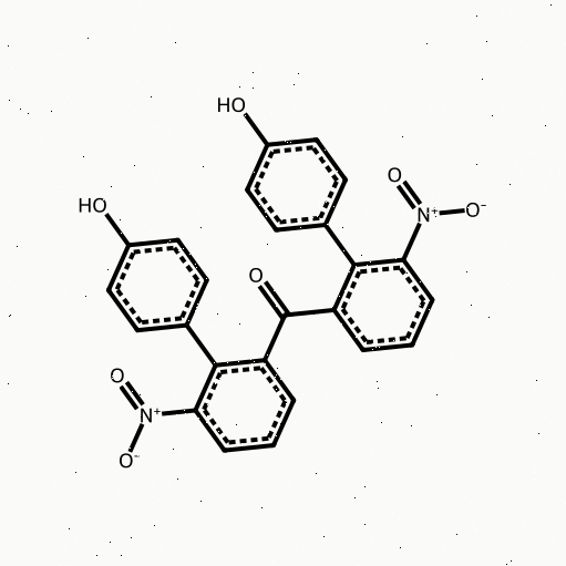 O=C(c1cccc([N+](=O)[O-])c1-c1ccc(O)cc1)c1cccc([N+](=O)[O-])c1-c1ccc(O)cc1